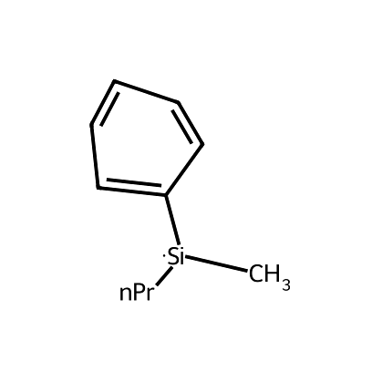 CCC[Si](C)c1ccccc1